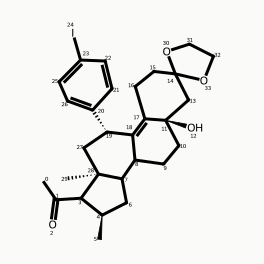 CC(=O)C1[C@H](C)CC2C3CC[C@@]4(O)CC5(CCC4=C3[C@@H](c3ccc(I)cc3)C[C@@]21C)OCCO5